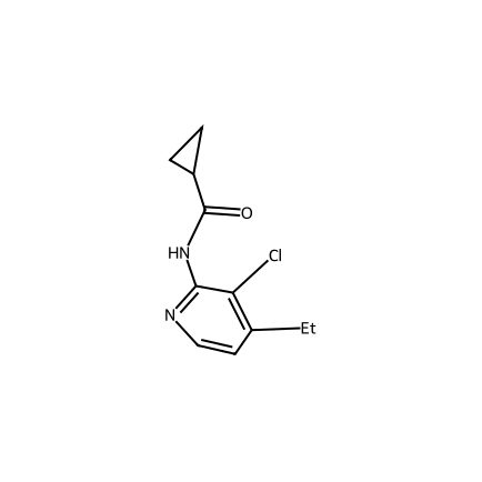 CCc1ccnc(NC(=O)C2CC2)c1Cl